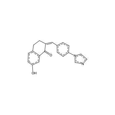 O=C1C(=Cc2ccc(-n3ccnc3)cc2)CCc2ccc(O)cc21